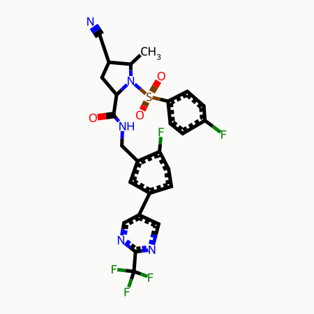 CC1C(C#N)CC(C(=O)NCc2cc(-c3cnc(C(F)(F)F)nc3)ccc2F)N1S(=O)(=O)c1ccc(F)cc1